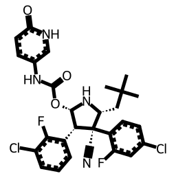 CC(C)(C)C[C@H]1N[C@@H](OC(=O)Nc2ccc(=O)[nH]c2)[C@@H](c2cccc(Cl)c2F)[C@]1(C#N)c1ccc(Cl)cc1F